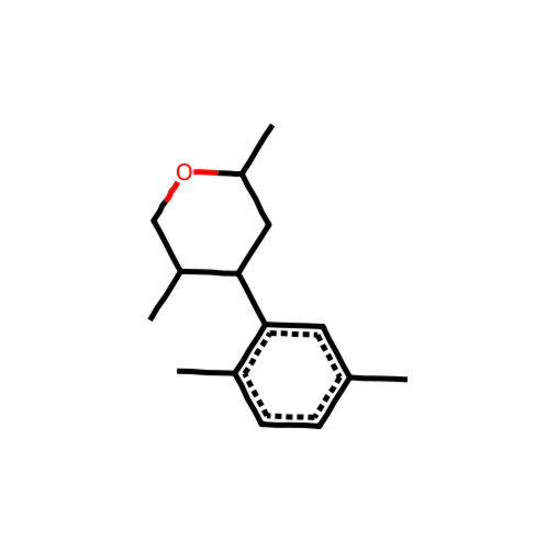 Cc1ccc(C)c(C2CC(C)OCC2C)c1